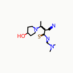 C/C(=C(\C#N)C(=S)/N=C/N(C)C)N1CCC(O)CC1